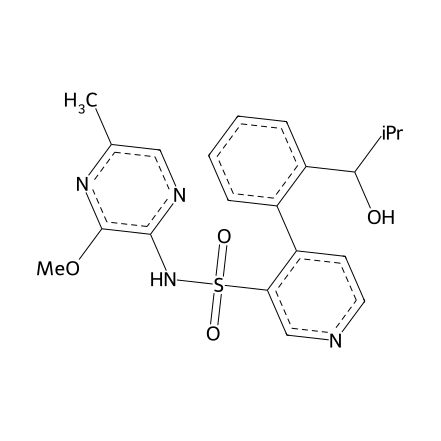 COc1nc(C)cnc1NS(=O)(=O)c1cnccc1-c1ccccc1C(O)C(C)C